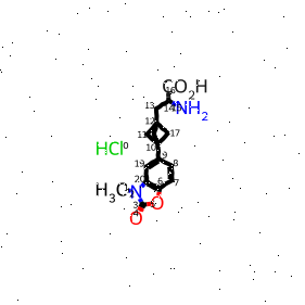 Cl.Cn1c(=O)oc2ccc(C34CC(CC(N)C(=O)O)(C3)C4)cc21